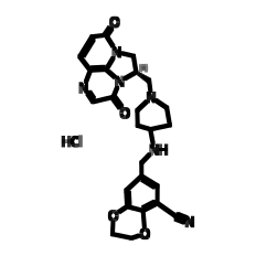 Cl.N#Cc1cc(CNC2CCN(C[C@@H]3Cn4c(=O)ccc5ncc(=O)n3c54)CC2)cc2c1OCCO2